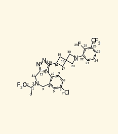 CC(N1Cc2cc(Cl)ccc2-n2c(nnc2C2CC3(C2)CN(c2cccc(C(F)(F)F)c2F)C3)C1)C(F)(F)F